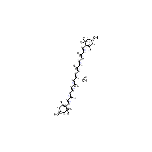 CC1=C(/C=C/C(C)=C/C=C/C(C)=C/C=C/C=C(C)/C=C/C=C(C)/C=C/C2=C(C)C[C@@H](O)CC2(C)C)C(C)(C)C[C@H](O)C1.CO